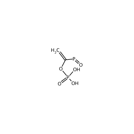 C=C(OP(=O)(O)O)P=O